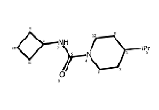 CC(C)C1CCN(C(=O)NC2CCC2)CC1